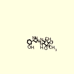 Cn1c(=O)c2[nH]c(-n3cc(-c4cccc(O)c4)nn3)nc2n(C)c1=O